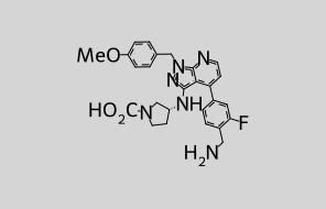 COc1ccc(Cn2nc(N[C@@H]3CCN(C(=O)O)C3)c3c(-c4ccc(CN)c(F)c4)ccnc32)cc1